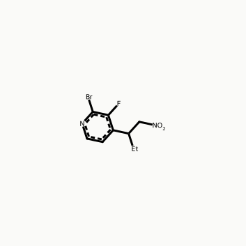 CCC(C[N+](=O)[O-])c1ccnc(Br)c1F